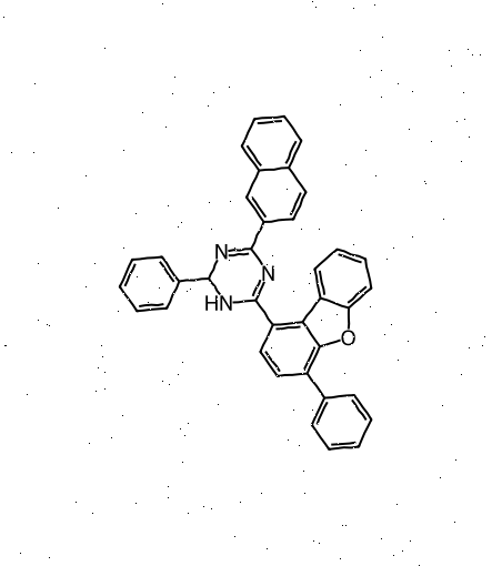 c1ccc(-c2ccc(C3=NC(c4ccc5ccccc5c4)=NC(c4ccccc4)N3)c3c2oc2ccccc23)cc1